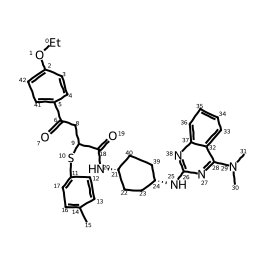 CCOc1ccc(C(=O)CC(Sc2ccc(C)cc2)C(=O)N[C@H]2CC[C@@H](Nc3nc(N(C)C)c4ccccc4n3)CC2)cc1